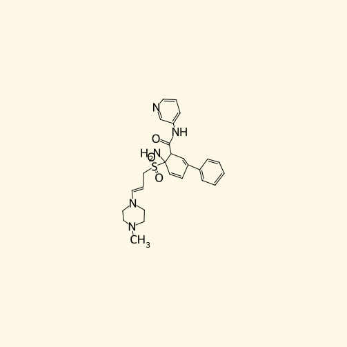 CN1CCN(C=CCS(=O)(=O)C2(N)C=CC(c3ccccc3)=CC2C(=O)Nc2cccnc2)CC1